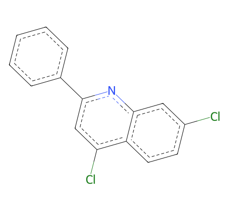 Clc1ccc2c(Cl)cc(-c3ccccc3)nc2c1